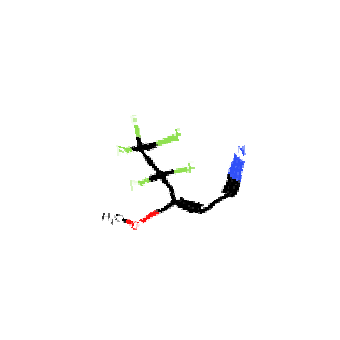 CO/C(=C/C#N)C(F)(F)C(F)(F)F